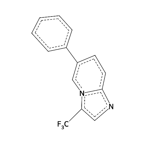 FC(F)(F)c1cnc2ccc(-c3ccccc3)cn12